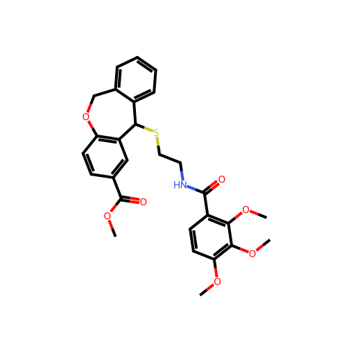 COC(=O)c1ccc2c(c1)C(SCCNC(=O)c1ccc(OC)c(OC)c1OC)c1ccccc1CO2